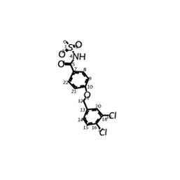 CS(=O)(=O)NC(=O)c1ccc(OCc2ccc(Cl)c(Cl)c2)cc1